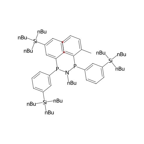 CCCCN(P(c1cccc([Si](CCCC)(CCCC)CCCC)c1)c1cccc([Si](CCCC)(CCCC)CCCC)c1)P(c1cccc([Si](CCCC)(CCCC)CCCC)c1)c1ccccc1C